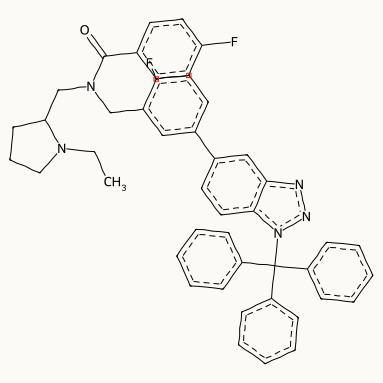 CCN1CCCC1CN(Cc1cc(-c2ccc3c(c2)nnn3C(c2ccccc2)(c2ccccc2)c2ccccc2)ccc1F)C(=O)c1ccc(F)cc1